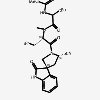 COC(=O)NC(C(=O)N(C)[C@@H](CC(C)C)C(=O)N1C[C@]2(C[C@H]1C#N)C(=O)Nc1ccccc12)C(C)(C)C